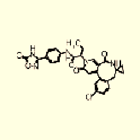 CCC(C(=O)Nc1ccc(-c2noc(=O)[nH]2)cc1)n1cc2c(cc1=O)-c1cc(Cl)ccc1CC1(CC1)NC2=O